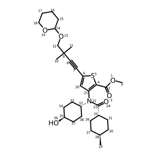 COC(=O)c1sc(C#CC(C)(C)COC2CCCCO2)cc1N(C(=O)[C@H]1CC[C@H](C)CC1)[C@H]1CC[C@H](O)CC1